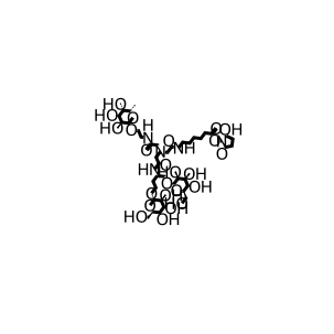 C[C@@H]1O[C@@H](OCCNC(=O)CN(CC(=O)NCCCCCC(=O)ON2C(=O)CCC2O)CC(=O)NC(CCO[C@H]2O[C@H](CO)[C@@H](O)[C@H](O)[C@@H]2O)CO[C@H]2O[C@H](CO)[C@@H](O)[C@H](O)[C@@H]2O)[C@@H](O)[C@H](O)[C@@H]1O